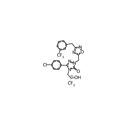 O=c1n(Cc2nc(Cc3cccc(C(F)(F)F)c3)no2)nc(-c2ccc(Cl)cc2)n1C[C@H](O)C(F)(F)F